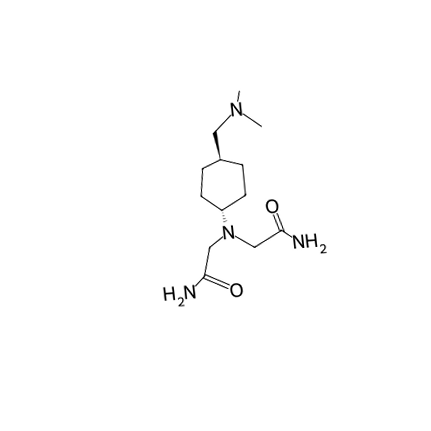 CN(C)C[C@H]1CC[C@H](N(CC(N)=O)CC(N)=O)CC1